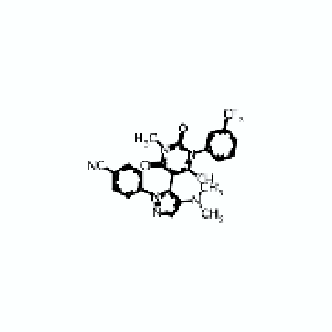 Cc1c(-c2c(N(C)C)cnn2-c2ccc(C#N)cc2)c(=O)n(C)c(=O)n1-c1cccc(C(F)(F)F)c1